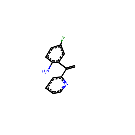 C=C(c1ccccn1)c1cc(Br)ccc1N